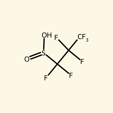 O=S(O)C(F)(F)C(F)(F)C(F)(F)F